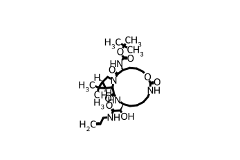 C=CCNC(=O)C(O)[C@@H]1CCCCNC(=O)OCCC[C@H](NC(=O)OC(C)(C)C)C(=O)N2C[C@H]3[C@@H]([C@H]2C(=O)N1)C3(C)C